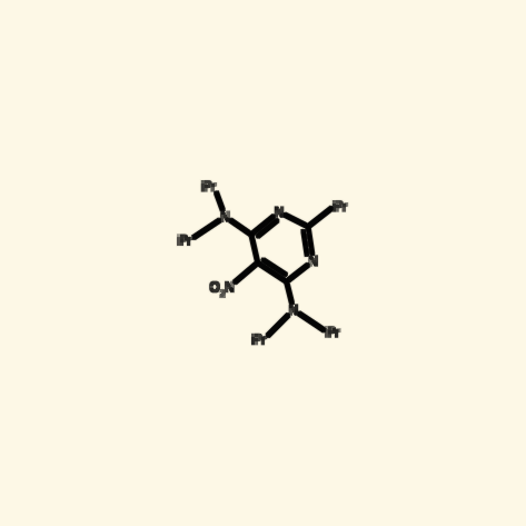 CC(C)c1nc(N(C(C)C)C(C)C)c([N+](=O)[O-])c(N(C(C)C)C(C)C)n1